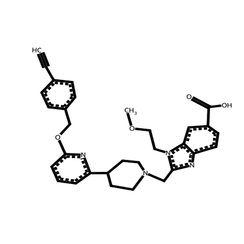 C#Cc1ccc(COc2cccc(C3CCN(Cc4nc5ccc(C(=O)O)cc5n4CCOC)CC3)n2)cc1